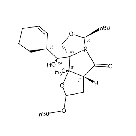 CCCCOC1C[C@H]2C(=O)N3[C@H](CCCC)OC[C@@]3([C@@H](O)[C@@H]3C=CCCC3)[C@@]2(C)O1